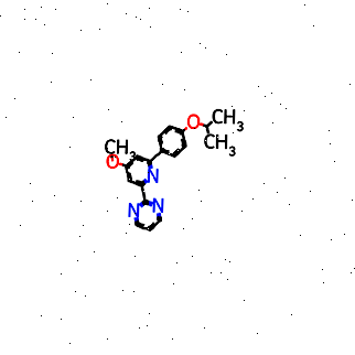 COc1cc(-c2ccc(OC(C)C)cc2)nc(-c2ncccn2)c1